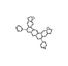 c1cc(-c2cc3cc4cc(-c5ccncc5)c5cc6ccoc6cc5c4cc3c3cc4occc4cc23)ccn1